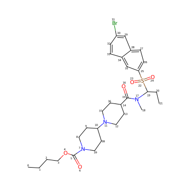 CCCCOC(=O)N1CCC(N2CCC(C(=O)N(C)C(CC)S(=O)(=O)c3ccc4cc(Br)ccc4c3)CC2)CC1